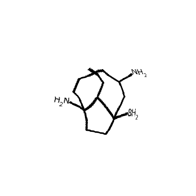 BC12CCC(N)(CCCC(N)C1)C2CC